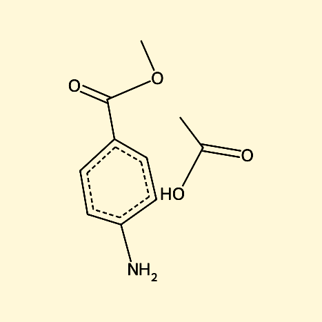 CC(=O)O.COC(=O)c1ccc(N)cc1